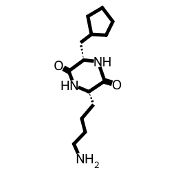 NCCCC[C@@H]1NC(=O)[C@H](CC2CCCC2)NC1=O